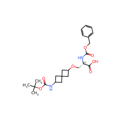 CC(C)(C)OC(=O)NC1CC2(C1)CC(OC[C@H](NC(=O)OCc1ccccc1)C(=O)O)C2